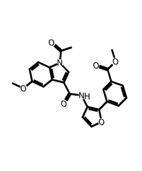 COC(=O)c1cccc(-c2occc2NC(=O)c2cn(C(C)=O)c3ccc(OC)cc23)c1